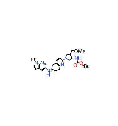 CCn1ccc2cc(N[C@H]3CCc4nc(N5CC(COC)C(NC(=O)OC(C)(C)C)C5)ccc4C3)cnc21